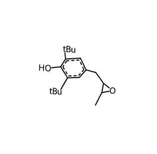 CC1OC1Cc1cc(C(C)(C)C)c(O)c(C(C)(C)C)c1